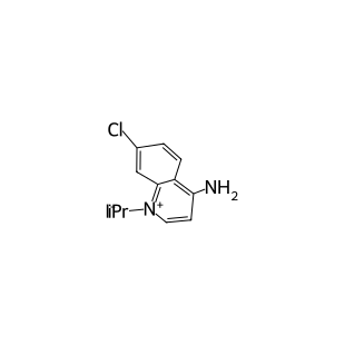 CC(C)[n+]1ccc(N)c2ccc(Cl)cc21.[I-]